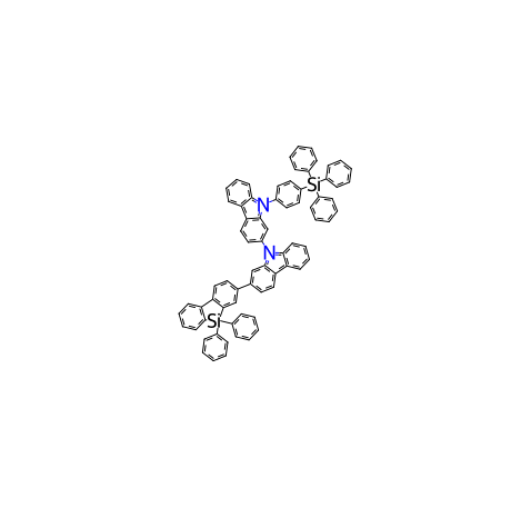 c1ccc([Si](c2ccccc2)(c2ccccc2)c2ccc(-n3c4ccccc4c4ccc(-n5c6ccccc6c6ccc(-c7ccc8c(c7)[Si](c7ccccc7)(c7ccccc7)c7ccccc7-8)cc65)cc43)cc2)cc1